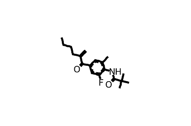 C=C(CCCC)C(=O)c1cc(C)c(NC(=O)C(C)(C)C)c(F)c1